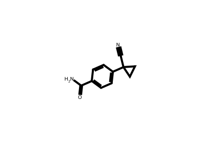 N#CC1(c2ccc(C(N)=O)cc2)CC1